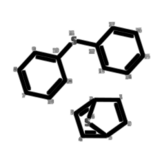 c1cc2ccc1s2.c1ccc(Sc2ccccc2)cc1